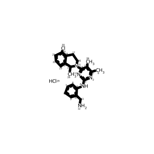 Cc1nc(Nc2ccccc2CN)nc(N2CCc3c(Cl)cccc3C2C)c1C.Cl